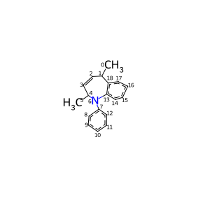 CC1C=CC(C)N(c2ccccc2)c2ccccc21